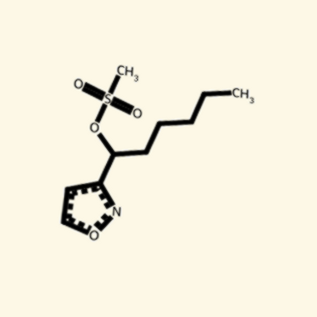 CCCCCC(OS(C)(=O)=O)c1ccon1